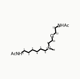 CC(=O)NCCCCCCN(C)CCOCCNC(C)=O